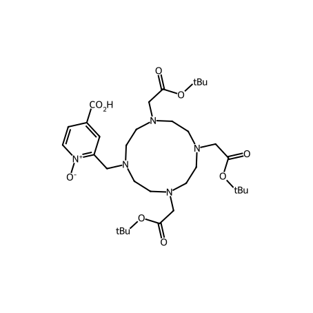 CC(C)(C)OC(=O)CN1CCN(CC(=O)OC(C)(C)C)CCN(Cc2cc(C(=O)O)cc[n+]2[O-])CCN(CC(=O)OC(C)(C)C)CC1